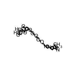 CN(C(=O)c1cc(OCCOCCOCCOCCOCCCN2CCN(c3ccc4c5cnccc5n(C)c4c3)CC2)ccc1C=O)C1CCC(=O)NC1=O